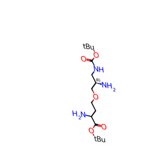 CC(C)(C)OC(=O)NC[C@@H](N)COCCC(N)C(=O)OC(C)(C)C